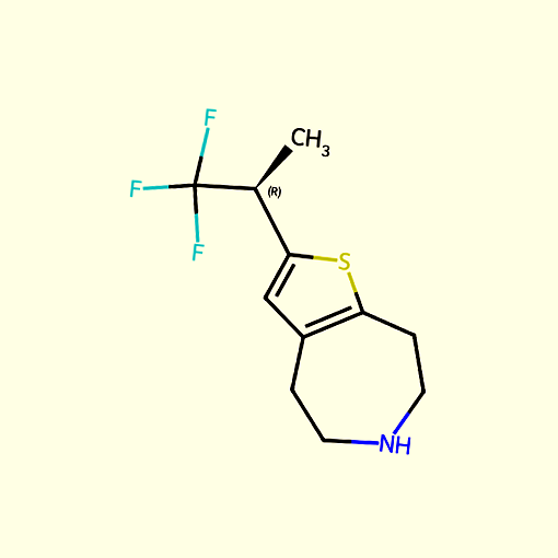 C[C@@H](c1cc2c(s1)CCNCC2)C(F)(F)F